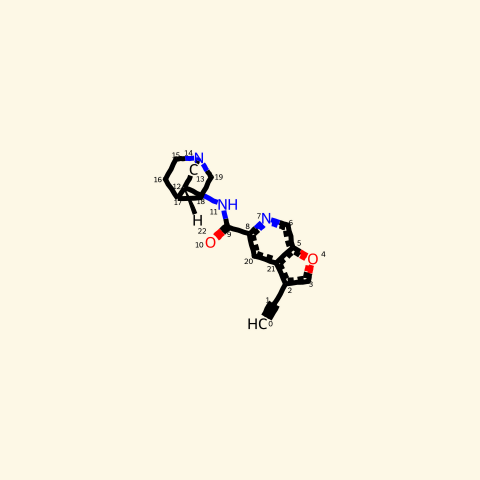 C#Cc1coc2cnc(C(=O)N[C@H]3CN4CCC3CC4)cc12